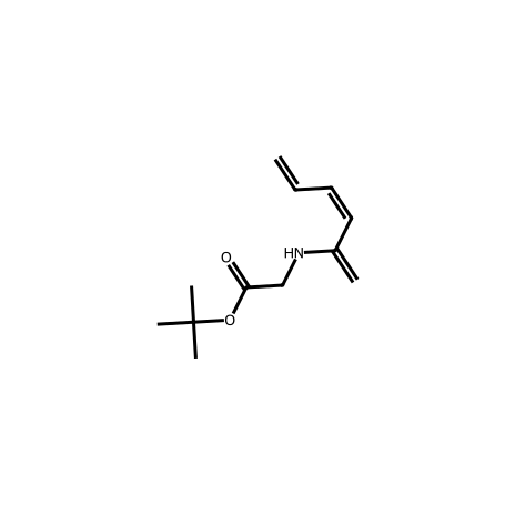 C=C/C=C\C(=C)NCC(=O)OC(C)(C)C